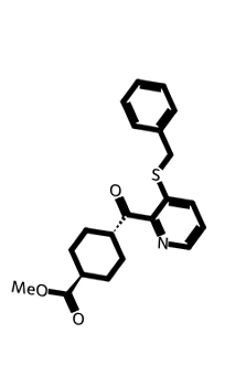 COC(=O)[C@H]1CC[C@H](C(=O)c2ncccc2SCc2ccccc2)CC1